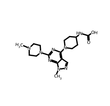 CN1CCN(c2nc(N3CCC(NC(=O)O)CC3)c3cnn(C)c3n2)CC1